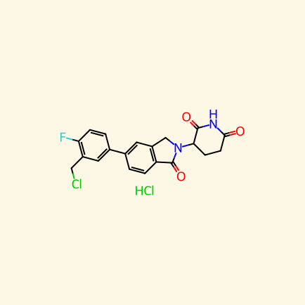 Cl.O=C1CCC(N2Cc3cc(-c4ccc(F)c(CCl)c4)ccc3C2=O)C(=O)N1